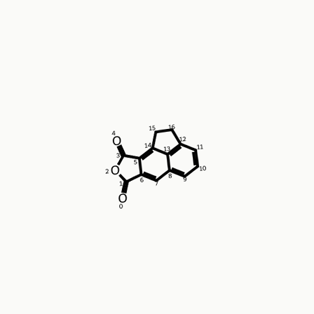 O=C1OC(=O)c2c1cc1cccc3c1c2CC3